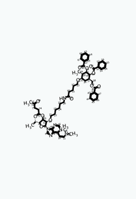 CC[C@H]1O[C@@H](n2cnc3c(/C=C\N(C)C)ncnc32)[C@@H](OCCCCCCNC(=O)CCCCO[C@@H]2C[C@H](COC(=O)c3ccccc3)[C@H](OC(=O)c3ccccc3)[C@H](OC(=O)c3ccccc3)[C@H]2C)C1OC(=O)CCC(C)=O